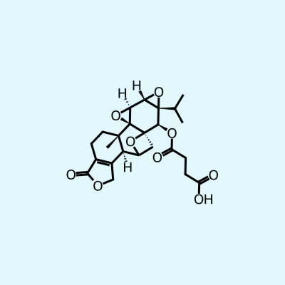 CC(C)[C@]12O[C@H]1[C@@H]1O[C@@]13[C@@]1(C)CCC4=C(COC4=O)[C@@H]1C1C[C@@]3(O1)[C@@H]2OC(=O)CCC(=O)O